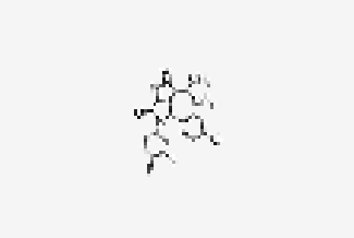 CC(C)c1[nH]nc2c1C(c1ccc(Cl)cc1)N(c1ccc(F)c(F)c1)C2=O